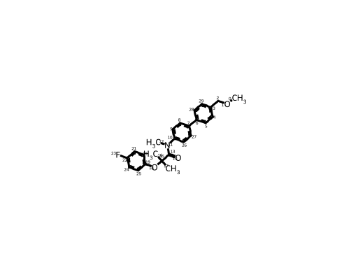 COCc1ccc(-c2ccc(N(C)C(=O)C(C)(C)Oc3ccc(F)cc3)cc2)cc1